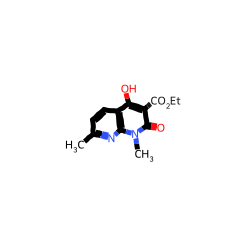 CCOC(=O)c1c(O)c2ccc(C)nc2n(C)c1=O